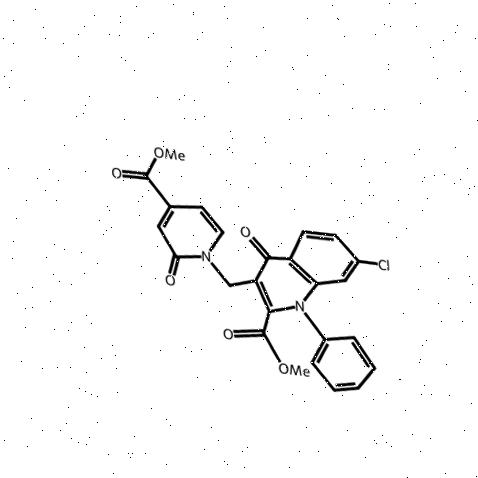 COC(=O)c1ccn(Cc2c(C(=O)OC)n(-c3ccccc3)c3cc(Cl)ccc3c2=O)c(=O)c1